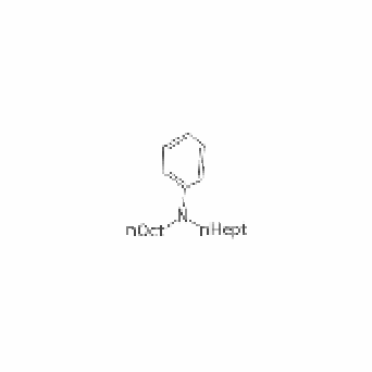 CCCCCCCCN(CCCCCCC)c1ccccc1